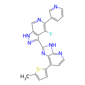 Cc1ccc(-c2ccnc3[nH]c(-c4n[nH]c5cnc(-c6cccnc6)c(F)c45)nc23)s1